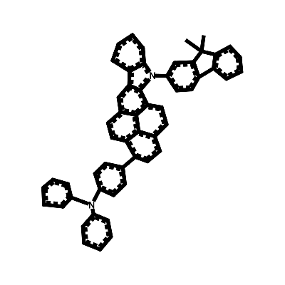 CC1(C)c2ccccc2-c2ccc(-n3c4ccccc4c4cc5ccc6c(-c7ccc(N(c8ccccc8)c8ccccc8)cc7)ccc7ccc(c5c76)c43)cc21